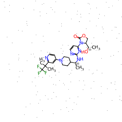 C[C@H](O)C1COC(=O)N1c1ccnc(N[C@@H](C)C2CCN(c3ccnc(C(C)(C)C(F)(F)F)c3)CC2)n1